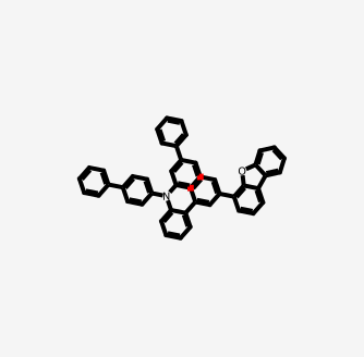 c1ccc(-c2ccc(N(c3cccc(-c4ccccc4)c3)c3ccccc3-c3cccc(-c4cccc5c4oc4ccccc45)c3)cc2)cc1